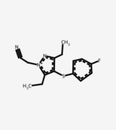 CCc1nn(CC#N)c(CC)c1Sc1ccc(F)cc1